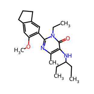 CCC(CC)Nc1c(C)nc(-c2cc3c(cc2OC)CCC3)n(CC)c1=O